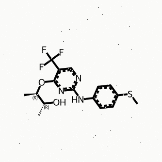 CSc1ccc(Nc2ncc(C(F)(F)F)c(O[C@H](C)[C@@H](C)O)n2)cc1